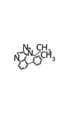 CC(C)Cn1cnc2cnc3cccc(-c4ccccc4)c3c21